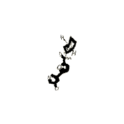 O=C(N[C@@H]1C[C@H]2CC[C@@H]1N2)c1ccc(-c2cncc(Cl)c2)o1